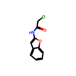 O=C(CCl)Nc1cc2ccccc2o1